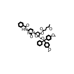 COc1ccc(C(OC[C@@H]2O[C@@H](n3ccc(NC(=O)c4ccccc4)nc3=O)C[C@@H]2OC(=O)CCC(C)=O)(c2ccccc2)c2ccc(OC)cc2)cc1